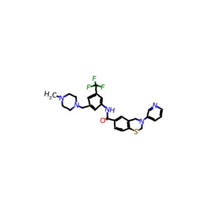 CN1CCN(Cc2cc(NC(=O)c3ccc4c(c3)CN(c3cccnc3)CS4)cc(C(F)(F)F)c2)CC1